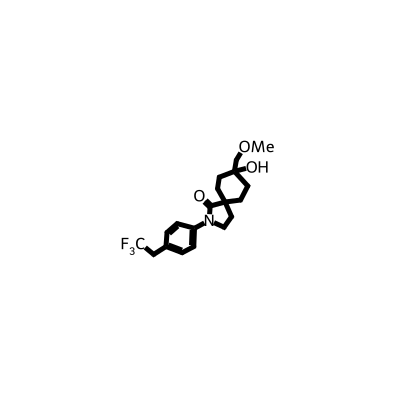 COCC1(O)CCC2(CCN(c3ccc(CC(F)(F)F)cc3)C2=O)CC1